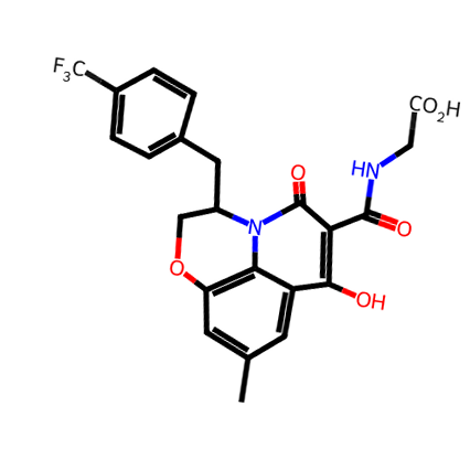 Cc1cc2c3c(c1)c(O)c(C(=O)NCC(=O)O)c(=O)n3C(Cc1ccc(C(F)(F)F)cc1)CO2